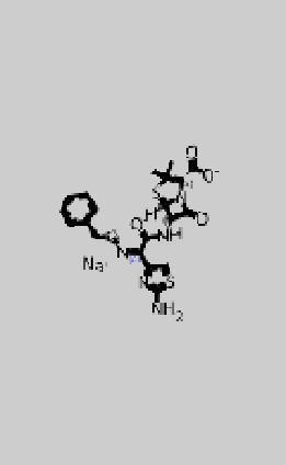 CC1(C)S[C@@H]2[C@@H](NC(=O)/C(=N\OCc3ccccc3)c3csc(N)n3)C(=O)N2[C@H]1C(=O)[O-].[Na+]